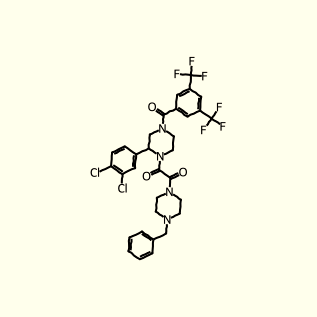 O=C(C(=O)N1CCN(C(=O)c2cc(C(F)(F)F)cc(C(F)(F)F)c2)CC1c1ccc(Cl)c(Cl)c1)N1CCN(Cc2ccccc2)CC1